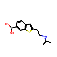 CC(C)NCCc1cc2ccc(B(O)O)cc2s1